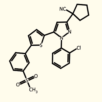 CS(=O)(=O)c1cccc(-c2ccc(-c3cc(C4(C#N)CCCC4)nn3-c3ccccc3Cl)s2)c1